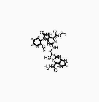 CCOC(=O)c1nc(NCCO)nc2c1[nH]c(=O)n2-c1ccccc1OC.NC(=O)c1ncnc2nc[nH]c12